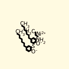 CCCCCCCCc1ccc([O-])c(Sc2cc(CCCCCCCC)ccc2[O-])c1.CCCCN.[Ni+2]